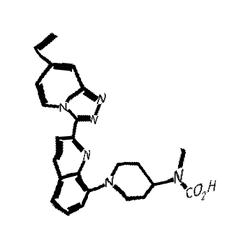 C=Cc1ccn2c(-c3ccc4cccc(N5CCC(N(C)C(=O)O)CC5)c4n3)nnc2c1